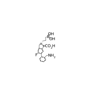 NCc1ccccc1-c1cc2c(cc1F)C[C@H](CCCB(O)O)[C@@H]2C(=O)O